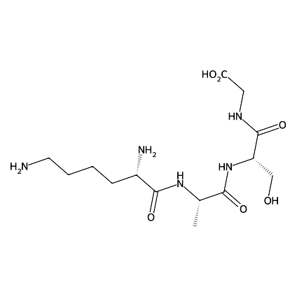 C[C@H](NC(=O)[C@@H](N)CCCCN)C(=O)N[C@@H](CO)C(=O)NCC(=O)O